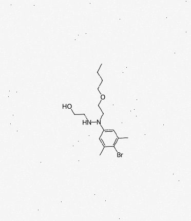 CCCCOCCN(NCCO)c1cc(C)c(Br)c(C)c1